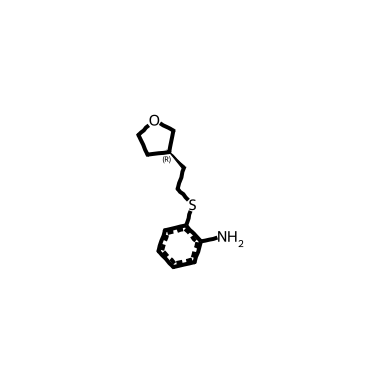 Nc1ccccc1SCC[C@H]1CCOC1